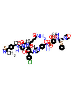 Cc1ncsc1-c1ccc([C@H](C)NC(=O)[C@@H]2C[C@@H](O)CN2C(=O)[C@@H](N(CC2(C)CCC(c3ccc(Cl)cc3)=C(CN3CCN(c4ccc(C(=O)NS(=O)(=O)c5ccc(N[C@H](CCN6CCOCC6)CSc6ccccc6)c(S(=O)(=O)C(F)(F)F)c5)cc4)CC3)C2)C(=O)CCCCC(N)=O)C(C)(C)C)cc1